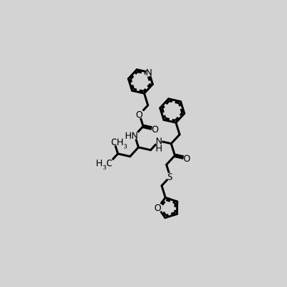 CC(C)CC(CNC(Cc1ccccc1)C(=O)CSCc1ccco1)NC(=O)OCc1cccnc1